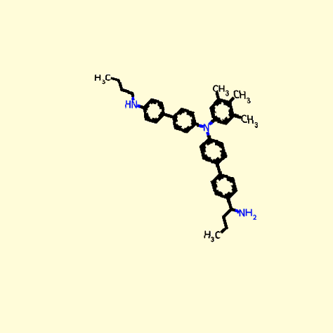 CCCCNc1ccc(-c2ccc(N(c3ccc(-c4ccc(C(N)CCC)cc4)cc3)c3cc(C)c(C)c(C)c3)cc2)cc1